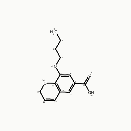 CCCCOc1cc(C(=O)O)cc2c1OCC=C2